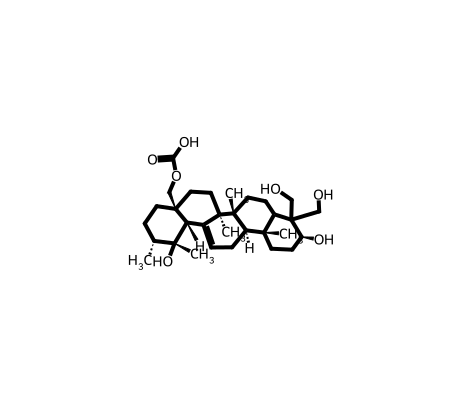 C[C@@H]1CC[C@]2(COC(=O)O)CC[C@]3(C)C(=CC[C@@H]4[C@@]5(C)CC[C@H](O)C(CO)(CO)C5CC[C@]43C)[C@@H]2[C@]1(C)O